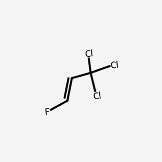 FC=CC(Cl)(Cl)Cl